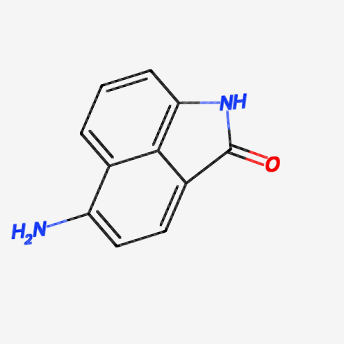 Nc1ccc2c3c(cccc13)NC2=O